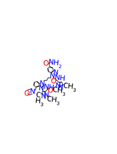 CCn1nc(C)cc1C(=O)Nc1nc2cc(C(N)=O)ccc2n1CCCCn1c(NC(=O)c2cc(C)nn2CC)nc2c(CN3CCOCC3)cccc21